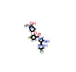 CCCN1C2CC(Oc3cc(F)ccc3C(=O)N3CC(=N)/C(=C4/N=CC(Cl)=CN4)C3)CC1C(O)C2